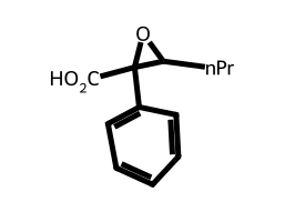 CCCC1OC1(C(=O)O)c1ccccc1